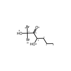 CCCC(O)C(=O)C(O)(Br)Br